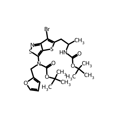 CC(Cc1sc2c(N(Cc3ccco3)C(=O)OC(C)(C)C)snc2c1Br)NC(=O)OC(C)(C)C